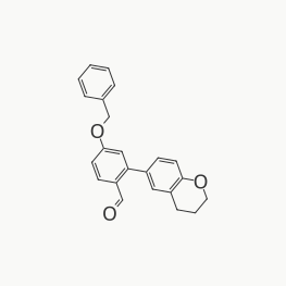 O=Cc1ccc(OCc2ccccc2)cc1-c1ccc2c(c1)CCCO2